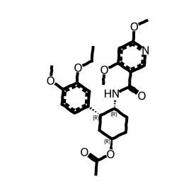 CCOc1cc([C@H]2C[C@H](OC(C)=O)CC[C@H]2NC(=O)c2cnc(OC)cc2OC)ccc1OC